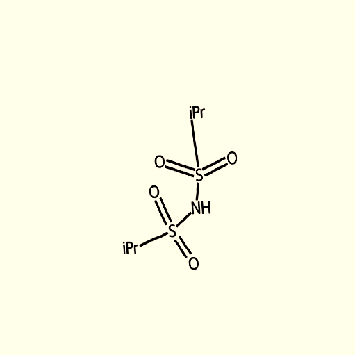 CC(C)S(=O)(=O)NS(=O)(=O)C(C)C